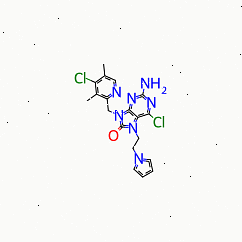 Cc1cnc(Cn2c(=O)n(CCn3cccc3)c3c(Cl)nc(N)nc32)c(C)c1Cl